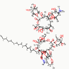 CCCCCCCCCCCCCCCCCC(=O)O[C@H]1[C@H](O[C@@H]2[C@@H](C)[C@H](O[C@H]3C[C@@](C)(OC)[C@@H](O)[C@H](C)O3)[C@@H](C)C(=O)O[C@H](CC)[C@@](C)(O)[C@H](O)[C@@H](C)C(=O)[C@H](C)C[C@@]2(C)O)O[C@H](C)C[C@@H]1N(C)C.CC[C@H]1OC(=O)[C@H](C)[C@@H](O[C@H]2C[C@@](C)(OC)[C@@H](O)[C@H](C)O2)[C@H](C)[C@@H](O[C@@H]2O[C@H](C)C[C@H](N(C)C)[C@H]2O)[C@](C)(O)C[C@@H](C)C(=O)[C@H](C)[C@@H](O)[C@]1(C)O